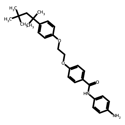 CC(C)(C)CC(C)(C)c1ccc(OCCOc2ccc(C(=O)Nc3ccc(N)cc3)cc2)cc1